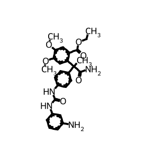 CCOC(=O)c1cc(OC)c(OC)cc1C(C)(C(N)=O)c1ccc(NC(=O)Nc2cccc(N)c2)cc1